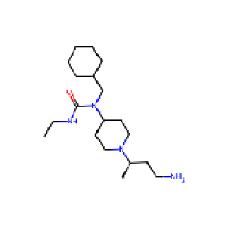 CCNC(=O)N(CC1CCCCC1)C1CCN([C@H](C)CCN)CC1